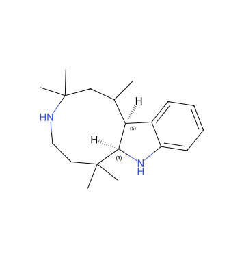 CC1CC(C)(C)NCCC(C)(C)[C@@H]2Nc3ccccc3[C@H]12